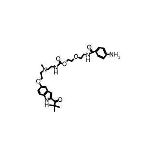 CN(CCNC(=O)OCCOCCNC(=O)c1ccc(N)cc1)CCOc1ccc2[nH]c(C(=O)C(C)(C)C)cc2c1